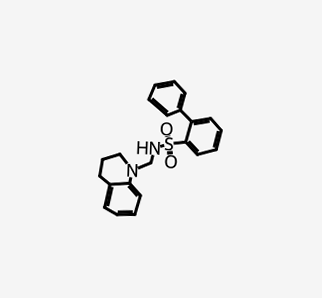 O=S(=O)(NCN1CCCc2ccccc21)c1ccccc1-c1ccccc1